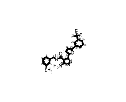 Cc1cccc(CNC(=O)c2c(-c3ccc(-c4cccc(C(F)(F)F)c4)o3)noc2N)c1